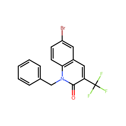 O=c1c(C(F)(F)F)cc2cc(Br)ccc2n1Cc1ccccc1